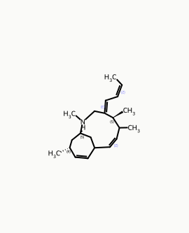 C/C=C\C=C1\CN(C)[C@@H]2CC(C=C[C@H](C)C2)/C=C\C(C)[C@@H]1C